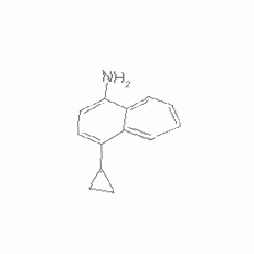 Nc1ccc([C]2CC2)c2ccccc12